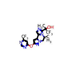 C[C@H]1Cn2nc(Oc3cc(C(F)(F)F)ncn3)cc2-c2cnc(C(C)(O)C(F)(F)F)n21